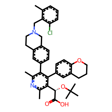 Cc1cccc(Cl)c1CN1CCc2cc(-c3c(C)nc(C)c([C@H](OC(C)(C)C)C(=O)O)c3-c3ccc4c(c3)CCCO4)ccc2C1